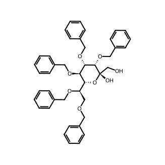 OC[C@]1(O)O[C@H]([C@@H](COCc2ccccc2)OCc2ccccc2)[C@@H](OCc2ccccc2)[C@H](OCc2ccccc2)[C@@H]1OCc1ccccc1